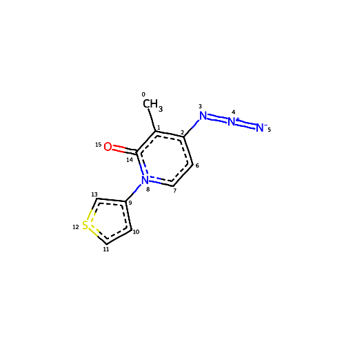 Cc1c(N=[N+]=[N-])ccn(-c2ccsc2)c1=O